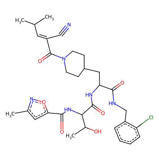 Cc1cc(C(=O)NC(C(=O)NC(CC2CCN(C(=O)C(C#N)=CC(C)C)CC2)C(=O)NCc2ccccc2Cl)C(C)O)on1